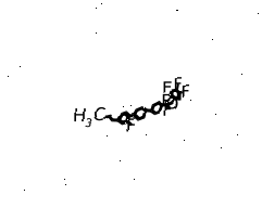 CCCCc1ccc(C2=CCC(C3CCC(C(F)(F)Oc4cc(F)c(F)c(F)c4)CC3)CC2)c(F)c1